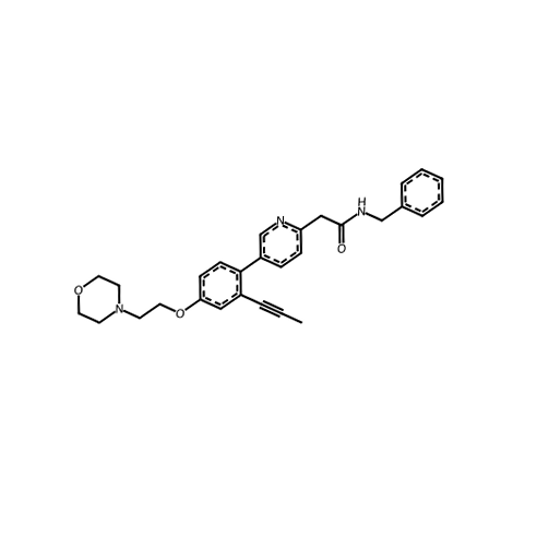 CC#Cc1cc(OCCN2CCOCC2)ccc1-c1ccc(CC(=O)NCc2ccccc2)nc1